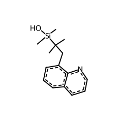 CC(C)(Cc1cccc2cccnc12)[Si](C)(C)O